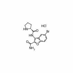 Cl.NC(=O)c1oc2ccc(Br)cc2c1NC(=O)[C@@H]1CCCN1